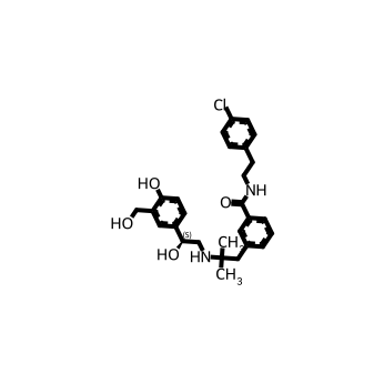 CC(C)(Cc1cccc(C(=O)NCCc2ccc(Cl)cc2)c1)NC[C@@H](O)c1ccc(O)c(CO)c1